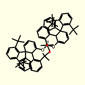 CC(C)(C)c1cccc(C(C)(C)C)c1C1C(OPOC2=CC=CC(c3ccccc3)(c3c(C(C)(C)C)cccc3C(C)(C)C)C2c2c(C(C)(C)C)cccc2C(C)(C)C)=CC=CC1(c1ccccc1)c1c(C(C)(C)C)cccc1C(C)(C)C